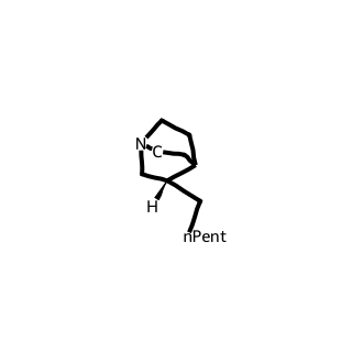 CCCCCC[C@@H]1CN2CCC1CC2